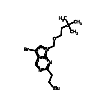 CC(C)(C)CCc1ncc2c(Br)cn(COCC[Si](C)(C)C)c2n1